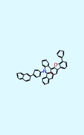 c1ccc(-c2cccc3c2oc2c(-c4ccccc4N(c4ccc(-c5ccc6ccccc6c5)cc4)c4cccc5ccccc45)cccc23)cc1